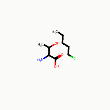 CC(O)C(N)C(=O)O.CCCCCCl